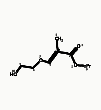 CCCOC(=O)C(C)=COCCO